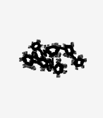 c1ccc(-c2cccc(-c3ccc(N(c4ccccc4)c4c5nc(-c6ccccc6)oc5cc5c4oc4ccccc45)cc3)c2)cc1